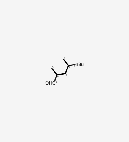 CCCCC(C)CC(C)C=O